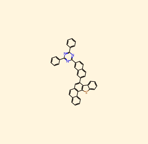 c1ccc(-c2nc(-c3ccccc3)nc(-c3ccc4ccc(-c5cc6ccc7ccccc7c6c6sc7ccccc7c56)cc4c3)n2)cc1